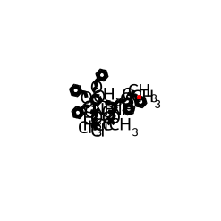 CC(C)(C)OC(=O)NC(C#C[C@@H]1O[C@H](COCc2ccccc2)[C@@H](OCc2ccccc2)[C@H](OCc2ccccc2)[C@H]1NC(=O)OCC(Cl)(Cl)Cl)CCO[Si](c1ccccc1)(c1ccccc1)C(C)(C)C